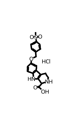 CS(=O)(=O)c1ccc(COc2ccc3[nH]c4c(c3c2)CCNC4C(=O)O)cc1.Cl